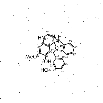 COc1cc2c(cc1O)C(Nc1ccccc1)(OCc1ccccc1)N=CN2.Cl